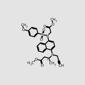 C#CCN(c1ccc(N(CC(=O)OC)S(=O)(=O)c2ccc(OC)cc2)c2ccccc12)[C@@H](C)CC(=O)OC